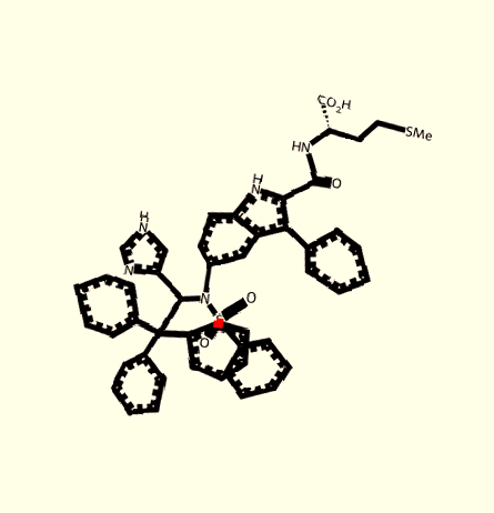 CSCC[C@H](NC(=O)c1[nH]c2ccc(N(C(c3c[nH]cn3)C(c3ccccc3)(c3ccccc3)c3ccccc3)S(=O)(=O)c3ccccc3)cc2c1-c1ccccc1)C(=O)O